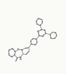 C=C1NC2C=CC(c3ccc(-c4nc(-c5ccccc5)cc(-c5ccccc5)n4)cc3)=CN2Oc2ccccc21